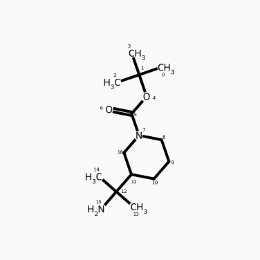 CC(C)(C)OC(=O)N1CCCC(C(C)(C)N)C1